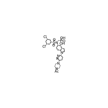 CC(=O)N1CCN(c2ccc(-n3ccc4cc(N(CP(=O)(O)O)S(=O)(=O)c5cc(Cl)cc(Cl)c5)ccc43)nn2)CC1